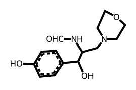 O=CNC(CN1CCOCC1)C(O)c1ccc(O)cc1